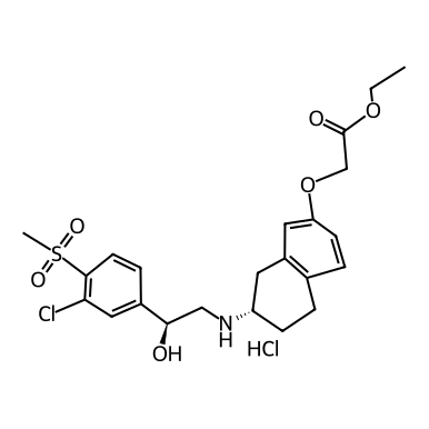 CCOC(=O)COc1ccc2c(c1)C[C@@H](NC[C@@H](O)c1ccc(S(C)(=O)=O)c(Cl)c1)CC2.Cl